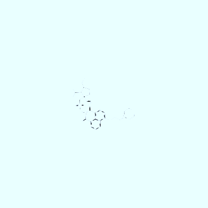 CCC1CCC(C=O)(CS(=O)(=O)ON2C(=O)c3cccc4c(OCCN5CCOCC5)ccc(c34)C2=O)C1C(C)C